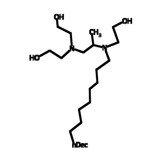 CCCCCCCCCCCCCCCCCCN(CCO)C(C)CN(CCO)CCO